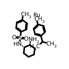 Cc1ccc(C(C)C)cc1.Cc1ccc(S(=O)(=O)N[C@H]2CCCC[C@@H]2N)cc1.[Ru]